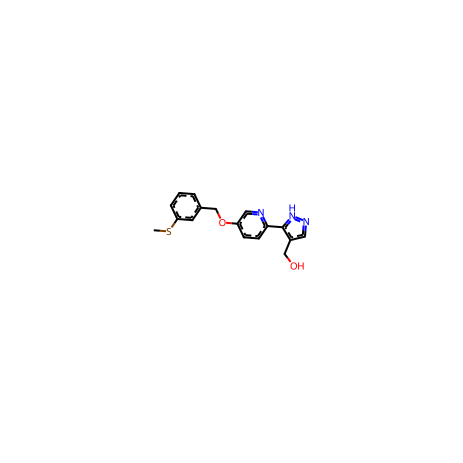 CSc1cccc(COc2ccc(-c3[nH]ncc3CO)nc2)c1